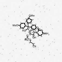 COc1ccc(C(c2ccccc2)(c2ccc(OC)cc2)C(O)[C@H]2O[C@@H](n3ccc(N)nc3=O)[C@H](O)[C@@H]2O[PH](=O)OCCC#N)cc1